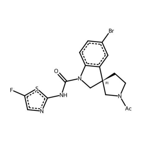 CC(=O)N1CC[C@@]2(C1)CN(C(=O)Nc1ncc(F)s1)c1ccc(Br)cc12